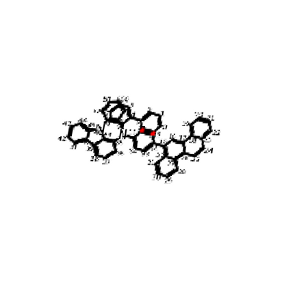 c1ccc(-c2ccccc2N(c2ccc(-c3cc4c5ccccc5ccc4c4ccccc34)cc2)c2cccc3c4ccccc4n(-c4ccccc4)c23)cc1